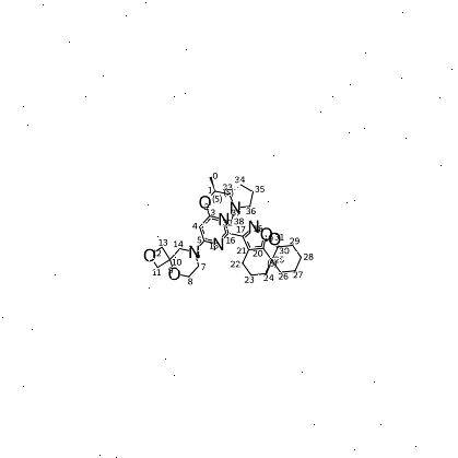 C[C@H](Oc1cc(N2CCOC3(COC3)C2)nc(-c2noc3c2CCC[C@@]32CCCCC2=O)n1)[C@@H]1CCCN1C